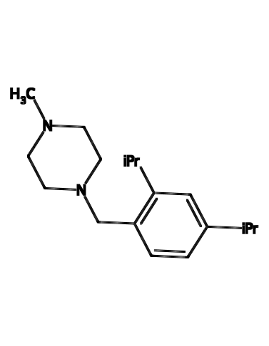 CC(C)c1ccc(CN2CCN(C)CC2)c(C(C)C)c1